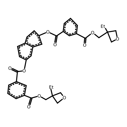 CCC1(COC(=O)c2cccc(C(=O)Oc3ccc4ccc(OC(=O)c5cccc(C(=O)OCC6(CC)COC6)c5)cc4c3)c2)COC1